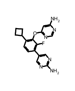 Nc1cc(Oc2c(C3CCC3)ccc(-c3cnc(N)nc3)c2F)ncn1